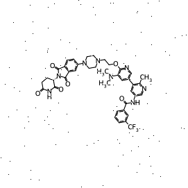 Cc1ncc(NC(=O)c2cccc(C(F)(F)F)c2)cc1-c1cnc(OCCN2CCN(c3ccc4c(c3)C(=O)N([C@H]3CCC(=O)NC3=O)C4=O)CC2)c(N(C)C)c1